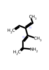 C=CC(=C\C)/C(C)=C/C(=C)N